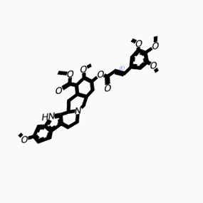 COC(=O)C1C2CC3c4[nH]c5cc(OC)ccc5c4CCN3CC2CC(OC(=O)/C=C/c2cc(OC)c(OC)c(OC)c2)C1OC